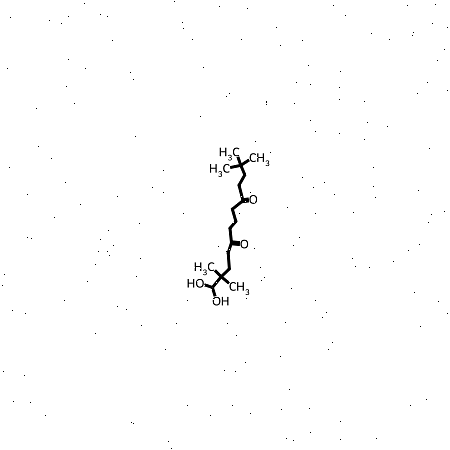 CC(C)(C)CCC(=O)CCCC(=O)CCC(C)(C)C(O)O